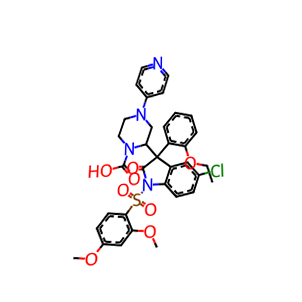 CCOc1ccccc1C1(C2CN(c3ccncc3)CCN2C(=O)O)C(=O)N(S(=O)(=O)c2ccc(OC)cc2OC)c2ccc(Cl)cc21